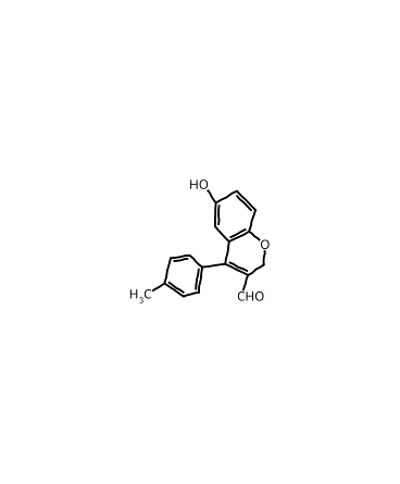 Cc1ccc(C2=C(C=O)COc3ccc(O)cc32)cc1